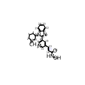 CN1CCC[C@@H](n2c(-c3cncc(/C=C/C(=O)NO)c3)nc3ccccc32)C1